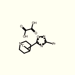 CC(C)c1noc(C2CN3CCC2CC3)n1.O=C(O)C(=O)O